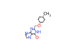 Cc1ccc(OCc2nc3nccnc3c(=O)[nH]2)cc1